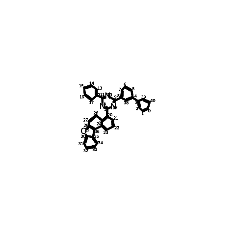 c1ccc(-c2cccc(-c3nc(-c4ccccc4)nc(-c4cccc5c4ccc4oc6ccccc6c45)n3)c2)cc1